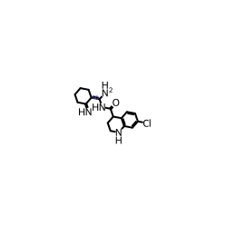 N=C1CCCC/C1=C(\N)NC(=O)C1CCNc2cc(Cl)ccc21